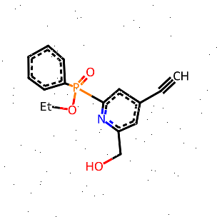 C#Cc1cc(CO)nc(P(=O)(OCC)c2ccccc2)c1